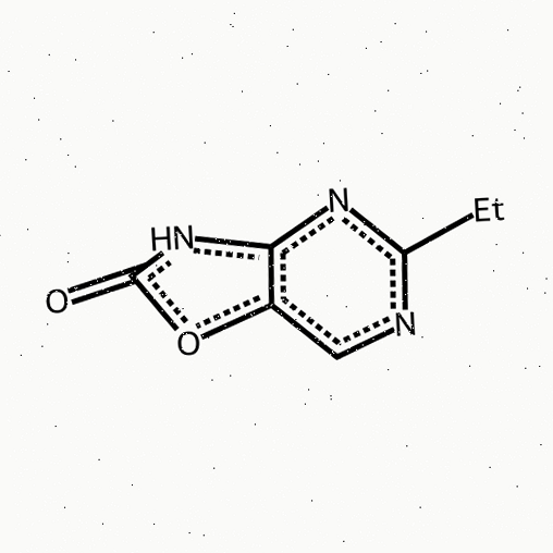 CCc1ncc2oc(=O)[nH]c2n1